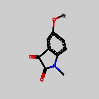 CCOc1ccc2c(c1)C(=O)C(=O)N2C